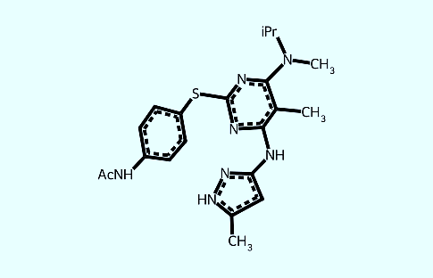 CC(=O)Nc1ccc(Sc2nc(Nc3cc(C)[nH]n3)c(C)c(N(C)C(C)C)n2)cc1